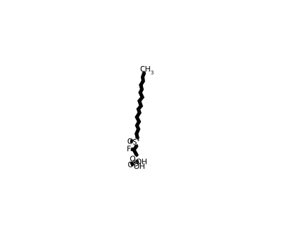 CCCCCCCCCCCCCCCCCC[S+]([O-])CC(F)COP(=O)(O)O